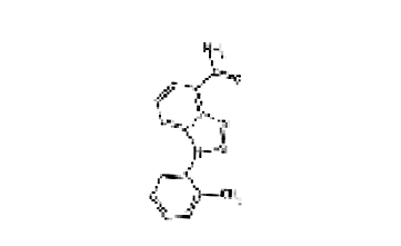 Cc1ccccc1-n1nnc2c(C(N)=O)cccc21